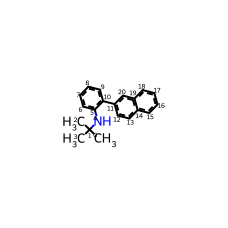 CC(C)(C)Nc1ccccc1-c1ccc2ccccc2c1